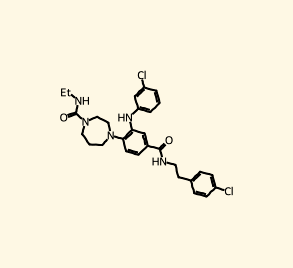 CCNC(=O)N1CCCN(c2ccc(C(=O)NCCc3ccc(Cl)cc3)cc2Nc2cccc(Cl)c2)CC1